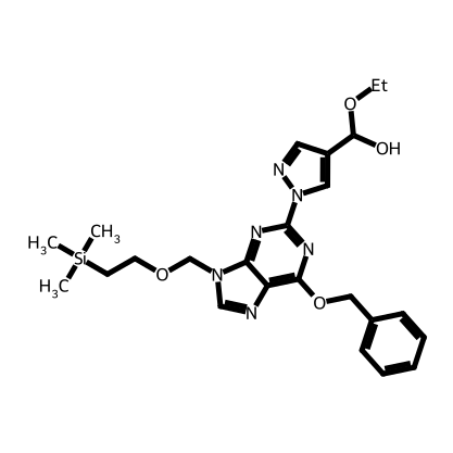 CCOC(O)c1cnn(-c2nc(OCc3ccccc3)c3ncn(COCC[Si](C)(C)C)c3n2)c1